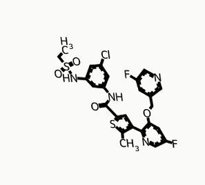 CCS(=O)(=O)Nc1cc(Cl)cc(NC(=O)c2cc(-c3ncc(F)cc3OCc3cncc(F)c3)c(C)s2)c1